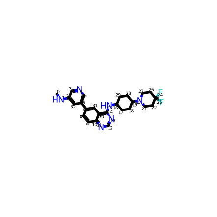 CNc1cncc(-c2ccc3ncnc(NC4CCC(N5CCC(F)(F)CC5)CC4)c3c2)c1